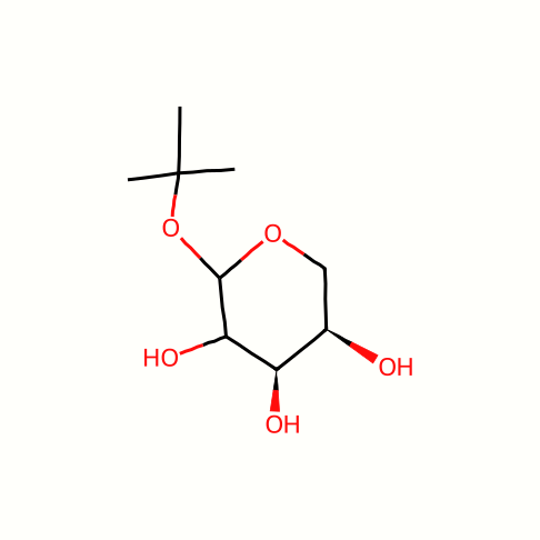 CC(C)(C)OC1OC[C@@H](O)[C@@H](O)C1O